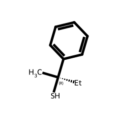 CC[C@@](C)(S)c1ccccc1